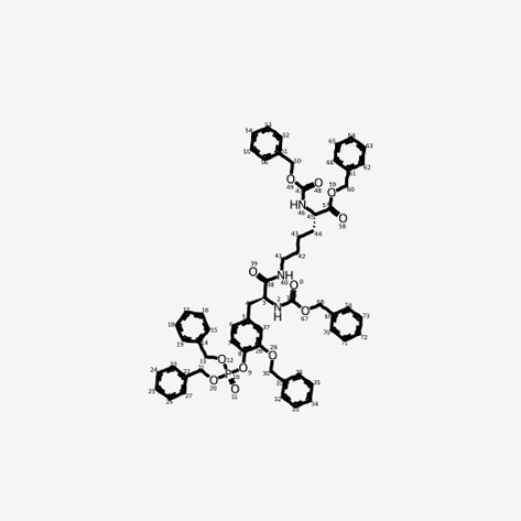 O=C(N[C@@H](Cc1ccc(OP(=O)(OCc2ccccc2)OCc2ccccc2)c(OCc2ccccc2)c1)C(=O)NCCCC[C@H](NC(=O)OCc1ccccc1)C(=O)OCc1ccccc1)OCc1ccccc1